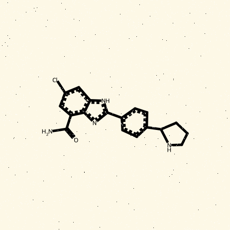 NC(=O)c1cc(Cl)cc2[nH]c(-c3ccc(C4CCCN4)cc3)nc12